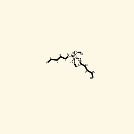 CCCCCO[Si](OC)(OC)OCCCCC